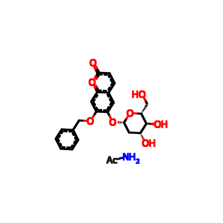 CC(N)=O.O=c1ccc2cc(O[C@H]3C[C@@H](O)[C@H](O)[C@@H](CO)O3)c(OCc3ccccc3)cc2o1